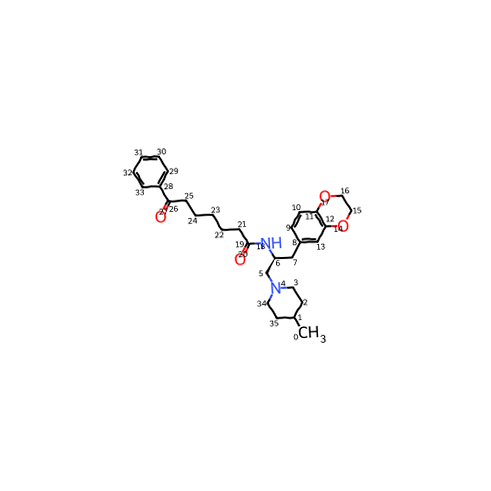 CC1CCN(C[C@H](Cc2ccc3c(c2)OCCO3)NC(=O)CCCCCC(=O)c2ccccc2)CC1